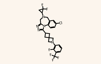 Fc1c(N2CC3(CC(c4nnc5n4-c4ccc(Cl)cc4CN(C4CC4(F)F)C5)C3)C2)cccc1C(F)(F)F